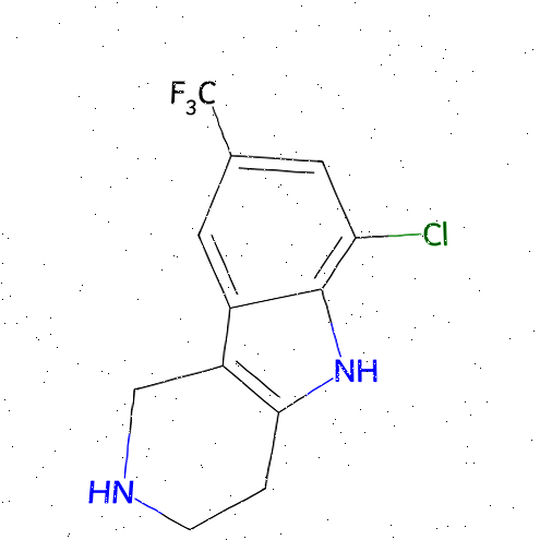 FC(F)(F)c1cc(Cl)c2[nH]c3c(c2c1)CNCC3